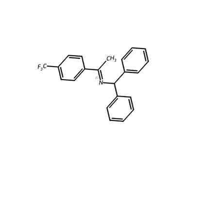 C/C(=N\C(c1ccccc1)c1ccccc1)c1ccc(C(F)(F)F)cc1